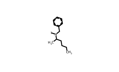 CCCCC(C)N(I)Cc1ccccc1